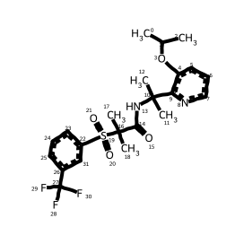 CC(C)Oc1cccnc1C(C)(C)NC(=O)C(C)(C)S(=O)(=O)c1cccc(C(F)(F)F)c1